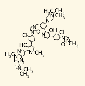 CNc1ncc(-c2nc(C)cc(-c3ccc(-n4ccn(Cc5cc(-c6nccc(-c7ccc(-n8ccn(C)c8=O)c(Cl)c7)c6O)cc(N6CCN(C(C)(C)C)CC6)c5)c4=O)c(Cl)c3)c2O)cc1N1CCC2(CCN2C(C)C)C1